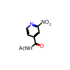 CC(=O)NC(=O)c1ccnc([N+](=O)[O-])c1